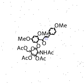 COc1ccc(/C=C/C(=O)c2c(OC)cc(OC)cc2O[C@@H]2O[C@H](COC(C)=O)[C@@H](OC(C)=O)[C@H](OC(C)=O)[C@H]2NC(C)=O)cc1